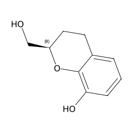 OC[C@H]1CCc2cccc(O)c2O1